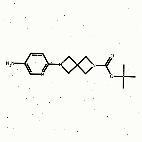 CC(C)(C)OC(=O)N1CC2(C1)CN(c1ccc(N)cn1)C2